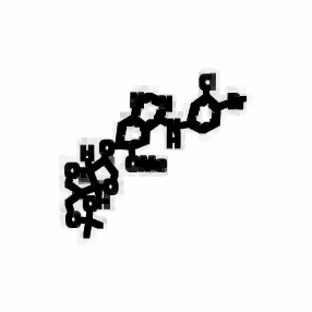 COc1cc2c(Nc3ccc(Br)c(Cl)c3)ncnc2cc1O[C@H]1CO[C@H]2[C@@H]1OC[C@@]21COC(C)(C)O1